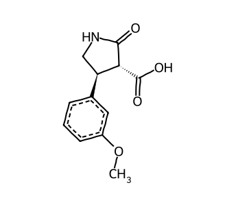 COc1cccc([C@H]2CNC(=O)[C@@H]2C(=O)O)c1